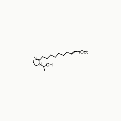 CCCCCCCCC=CCCCCCCCC1=NCCN1C(C)O